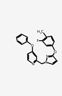 Cc1ccc(Oc2ccn(Cc3cc(Oc4ccccc4)ccn3)n2)cc1F